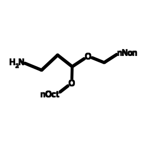 CCCCCCCCCCOC(CCN)OCCCCCCCC